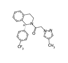 Cc1cnn(CC(=O)N2CCc3ccccc3[C@H]2c2ccc(C(F)(F)F)cc2)c1